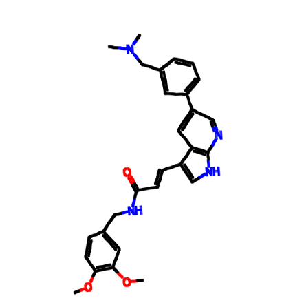 COc1ccc(CNC(=O)/C=C/c2c[nH]c3ncc(-c4cccc(CN(C)C)c4)cc23)cc1OC